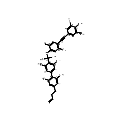 C=CCCc1cc(F)c(-c2cc(F)c(C(F)(F)Oc3cc(F)c(C#Cc4cc(F)c(F)c(F)c4)cc3C)c(F)c2)c(F)c1